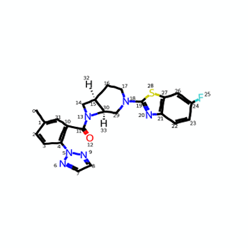 Cc1ccc(-n2nccn2)c(C(=O)N2C[C@H]3CCN(c4nc5ccc(F)cc5s4)C[C@H]32)c1